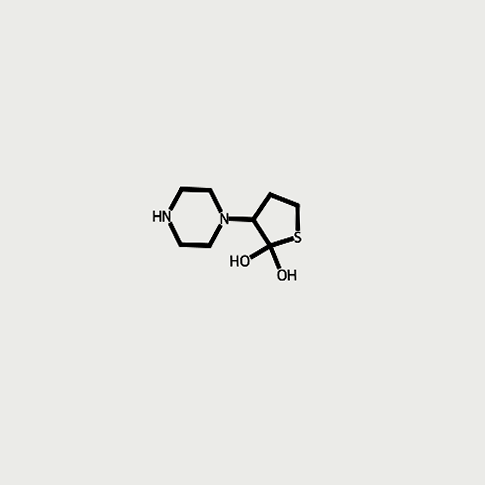 OC1(O)SCCC1N1CCNCC1